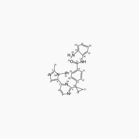 Cc1ncc(-c2ccnc(C3(c4ccc(C(=O)Nc5ccccc5N)cc4)CC3)n2)n1C(C)C